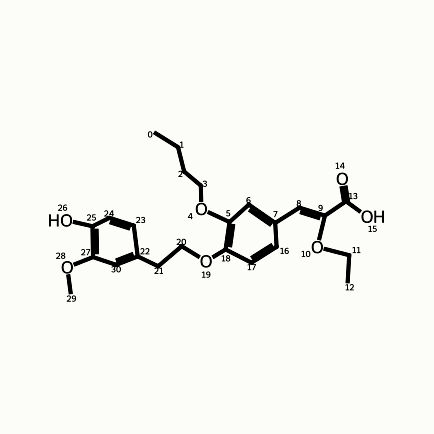 CCCCOc1cc(/C=C(\OCC)C(=O)O)ccc1OCCc1ccc(O)c(OC)c1